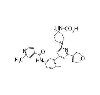 Cc1ccc(NC(=O)c2ccnc(C(F)(F)F)c2)cc1-c1cc(C2=CCOCC2)nc(N2CCC(C)(NC(=O)O)CC2)c1